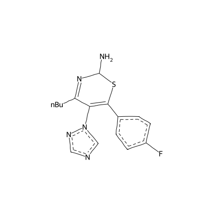 CCCCC1=NC(N)SC(c2ccc(F)cc2)=C1n1cncn1